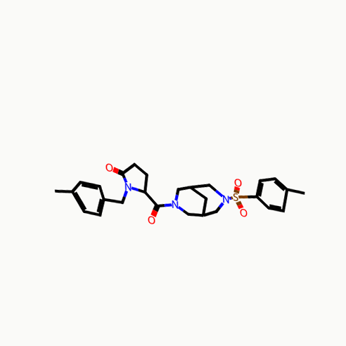 Cc1ccc(CN2C(=O)CCC2C(=O)N2CC3CC(C2)CN(S(=O)(=O)c2ccc(C)cc2)C3)cc1